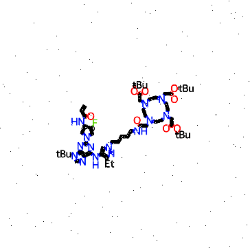 C=CC(=O)N[C@@H]1CN(c2nc(Nc3cn(CCCCCNC(=O)CN4CCN(CC(=O)OC(C)(C)C)CCN(CC(=O)OC(C)(C)C)CCN(CC(=O)OC(C)(C)C)CC4)nc3CC)c3ncn(C(C)(C)C)c3n2)C[C@H]1F